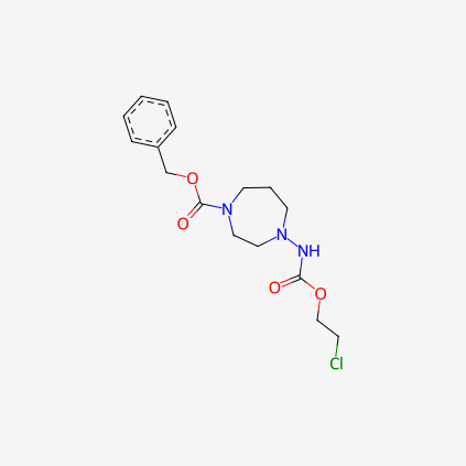 O=C(NN1CCCN(C(=O)OCc2ccccc2)CC1)OCCCl